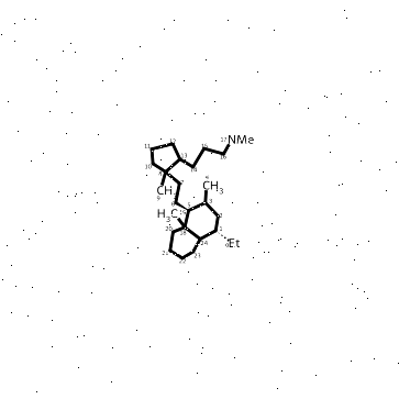 CC[C@H]1CC(C)[C@H](CCC2(C)CCCC2CCCNC)C2(C)CCCCC12